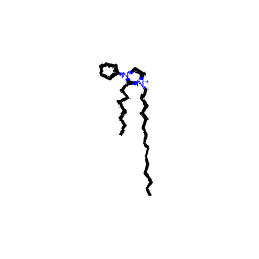 CCCCCCCCCCCCCCC[n+]1ccn(-c2ccccc2)c1CCCCCCC